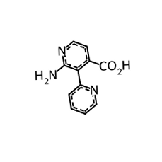 Nc1nccc(C(=O)O)c1-c1ccccn1